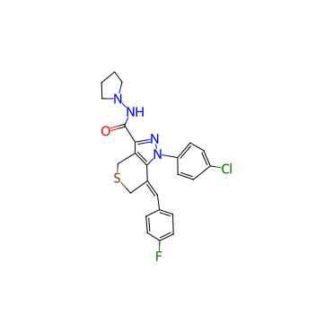 O=C(NN1CCCC1)c1nn(-c2ccc(Cl)cc2)c2c1CSCC2=Cc1ccc(F)cc1